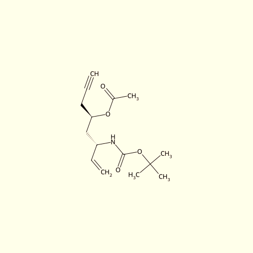 C#CC[C@H](C[C@@H](C=C)NC(=O)OC(C)(C)C)OC(C)=O